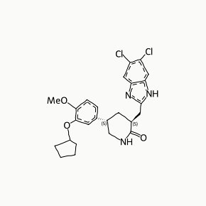 COc1ccc([C@H]2CNC(=O)[C@H](Cc3nc4cc(Cl)c(Cl)cc4[nH]3)C2)cc1OC1CCCC1